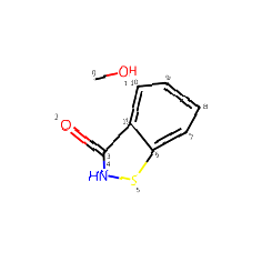 CO.O=c1[nH]sc2ccccc12